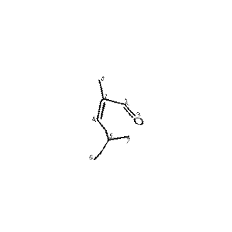 CC([C]=O)=CC(C)C